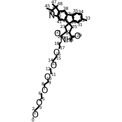 COCCOCCOCCOCCOCCOCCNC(=O)CCC1(CCC(C)=O)c2cc(C)ccc2-c2cc3c(cc21)N=C(C)C3(C)C